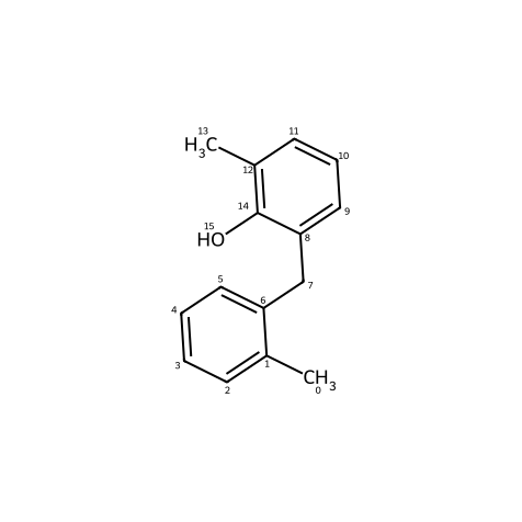 Cc1ccccc1Cc1cccc(C)c1O